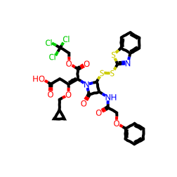 O=C(O)C/C(OCC1CC1)=C(\C(=O)OCC(Cl)(Cl)Cl)N1C(=O)C(NC(=O)COc2ccccc2)C1SSc1nc2ccccc2s1